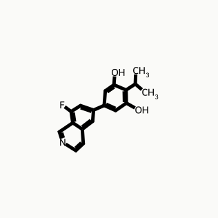 CC(C)c1c(O)cc(-c2cc(F)c3cnccc3c2)cc1O